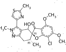 COc1cc(OC)c2c(c1Cl)O[C@]1(C2=O)C(O)c2c(nn(C)c2-c2csc(C)n2)C[C@H]1C